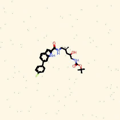 C[C@H](CNC(=O)c1cc2ccc(-c3ccc(F)cc3)cc2[nH]1)CC(O)CNC(=O)OC(C)(C)C